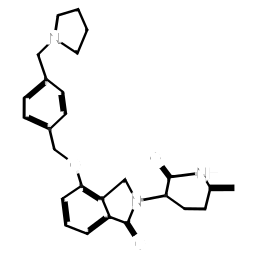 C=C1CCC(N2Cc3c(OCc4ccc(CN5CCCC5)cc4)cccc3C2=O)C(=O)N1